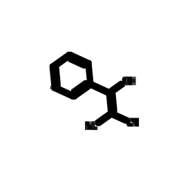 N#CC(C#N)=C(O)c1c[c]ccc1